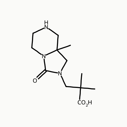 CC(C)(CN1CC2(C)CNCCN2C1=O)C(=O)O